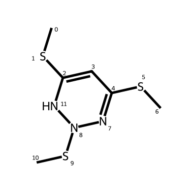 CSC1=CC(SC)=NN(SC)N1